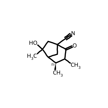 CC1C(=O)C2(C#N)CC([C@@H]1C)C(C)(O)C2